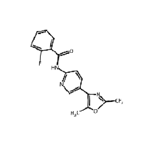 Cc1oc(C(F)(F)F)nc1-c1ccc(NC(=O)c2ccccc2F)nc1